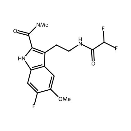 CNC(=O)c1[nH]c2cc(F)c(OC)cc2c1CCNC(=O)C(F)F